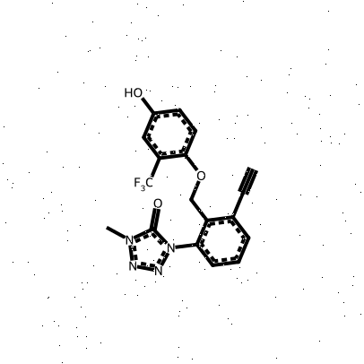 C#Cc1cccc(-n2nnn(C)c2=O)c1COc1ccc(O)cc1C(F)(F)F